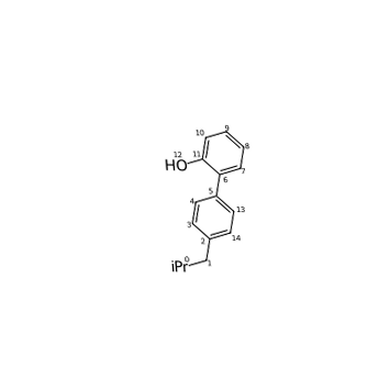 CC(C)Cc1ccc(-c2ccccc2O)cc1